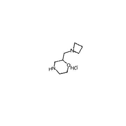 C1CN(CC2CNCCO2)C1.Cl